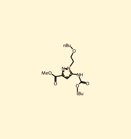 CCCCOCCn1nc(C(=O)OC)cc1NC(=O)OC(C)(C)C